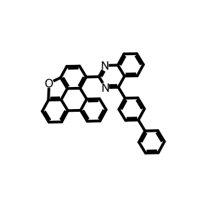 c1ccc(-c2ccc(-c3nc(-c4ccc5oc6cccc7c8ccccc8c4c5c67)nc4ccccc34)cc2)cc1